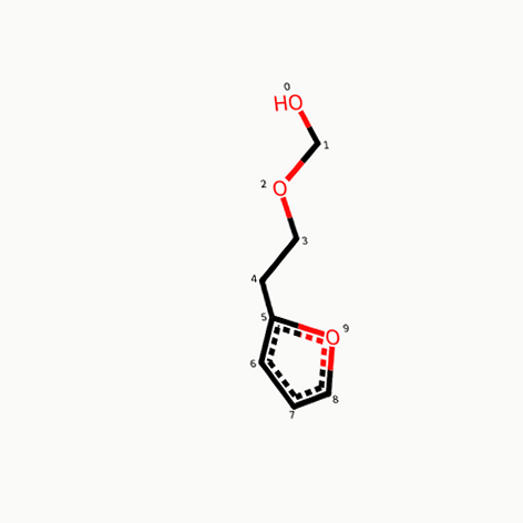 OCOCCc1ccco1